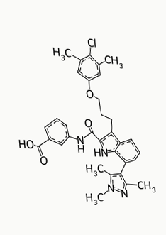 Cc1cc(OCCCc2c(C(=O)Nc3cccc(C(=O)O)c3)[nH]c3c(-c4c(C)nn(C)c4C)cccc23)cc(C)c1Cl